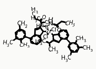 CCC(=O)N[B](NC(=O)CC)[Zr]([Cl])([Cl])([CH]1C(C(C)C)=Cc2c(-c3cc(C)cc(C)c3C)cccc21)[CH]1C(C(C)C)=Cc2c(-c3cc(C)cc(C)c3C)cccc21